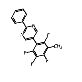 Cc1c(F)c(F)c(F)c(-c2cnc(-c3ccccc3)nc2)c1F